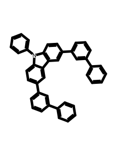 c1ccc(-c2cccc(-c3ccc4c(c3)c3cc(-c5cccc(-c6ccccc6)c5)ccc3n4-c3ccccc3)c2)cc1